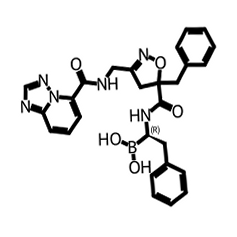 O=C(NCC1=NOC(Cc2ccccc2)(C(=O)N[C@@H](Cc2ccccc2)B(O)O)C1)c1cccc2ncnn12